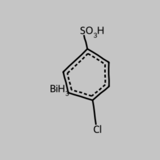 O=S(=O)(O)c1ccc(Cl)cc1.[BiH3]